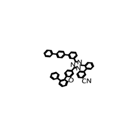 N#Cc1cccc(-c2ccccc2-c2nc(-c3cccc(-c4ccc(-c5ccccc5)cc4)c3)nc(-c3ccc4c(c3)oc3cccc(-c5ccccc5)c34)n2)c1